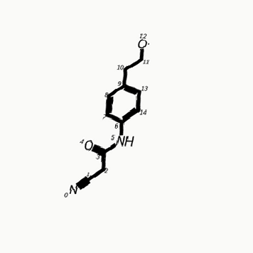 N#CCC(=O)Nc1ccc(CC[O])cc1